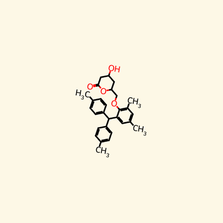 Cc1ccc(C(c2ccc(C)cc2)c2cc(C)cc(C)c2OCC2CC(O)CC(=O)O2)cc1